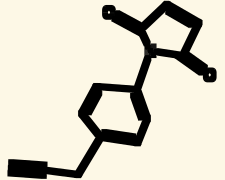 C#CCc1ccc(N2C(=O)C=CC2=O)cc1